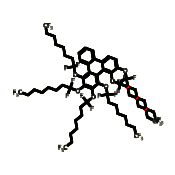 FC(F)(F)CCCCCCC(F)(F)Oc1ccc2c3ccccc3c3c(OC(F)(F)CCCCCCC(F)(F)F)c(OC(F)(F)CCCCCCC(F)(F)F)c(OC(F)(F)CCCCCCC(F)(F)F)c(OC(F)(F)CCCCCCC(F)(F)F)c3c2c1OC(F)(F)CCCCCCC(F)(F)F